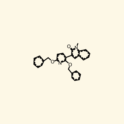 Cn1c(=O)c(-c2ccc(OCc3ccccc3)nc2OCc2ccccc2)cc2ccccc21